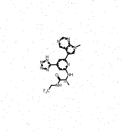 C[C@H](Nc1cc(-c2nnn[nH]2)cc(-c2cn(C)c3ncncc23)n1)C(=O)NCC(F)(F)F